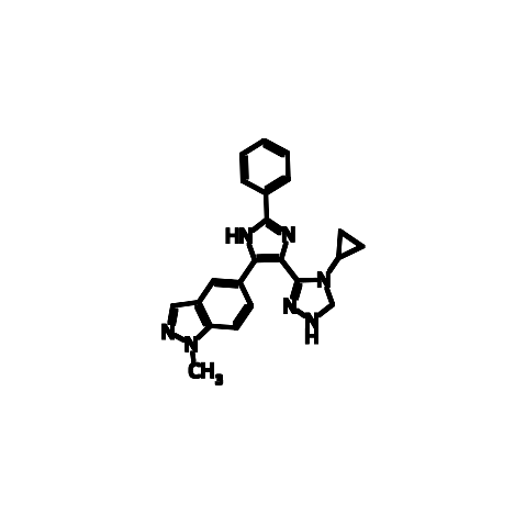 Cn1ncc2cc(-c3[nH]c(-c4ccccc4)nc3C3=NNCN3C3CC3)ccc21